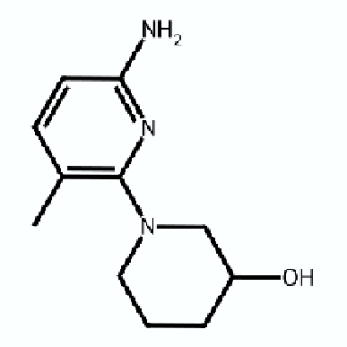 Cc1ccc(N)nc1N1CCCC(O)C1